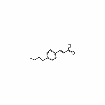 CCCCc1ccc(C=CC(=O)Cl)cc1